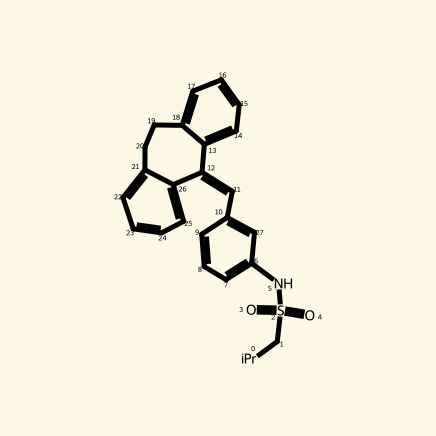 CC(C)CS(=O)(=O)Nc1cccc(C=C2c3ccccc3CCc3ccccc32)c1